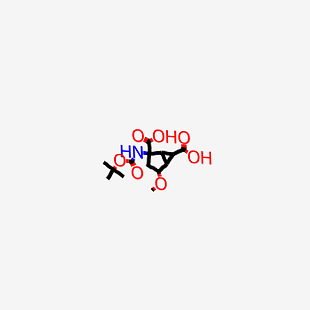 COC1CC(NC(=O)OC(C)(C)C)(C(=O)O)C2C(C(=O)O)C12